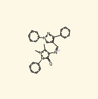 Cc1c(/N=C\c2cn(-c3ccccc3)nc2-c2ccccc2)c(=O)n(-c2ccccc2)n1C